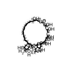 CCNC(=O)[C@H]1[C@@H]2CC(O[C@@H]3OC[C@@H](O)[C@H](N)[C@H]3O)/C=C/C=C/C=C/C=C/C=C/C=C/C=C/[C@H](C)[C@@H](O)C[C@H](C)OC(=O)CC(O)CC(O)CCC(O)C(O)CC(O)CC(O)(C[C@@H]1O)O2